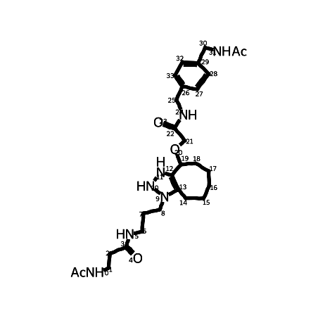 CC(=O)NCCC(=O)NCCCN1NNC2=C1CCCCCC2OCC(=O)NCc1ccc(CNC(C)=O)cc1